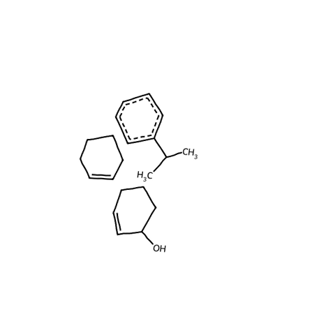 C1=CCCCC1.CC(C)c1ccccc1.OC1C=CCCC1